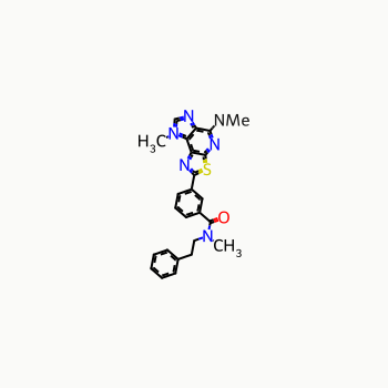 CNc1nc2sc(-c3cccc(C(=O)N(C)CCc4ccccc4)c3)nc2c2c1ncn2C